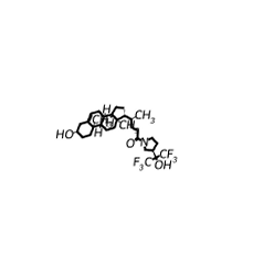 C[C@H](CCC(=O)N1CC[C@@H](C(O)(C(F)(F)F)C(F)(F)F)C1)[C@H]1CC[C@H]2[C@@H]3CC=C4C[C@@H](O)CC[C@]4(C)[C@H]3CC[C@]12C